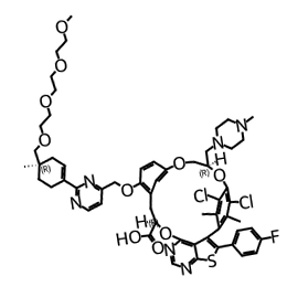 COCCOCCOCCOC[C@@]1(C)CC=C(c2nccc(COc3ccc4cc3C[C@H](C(=O)O)Oc3ncnc5sc(-c6ccc(F)cc6)c(c35)-c3c(C)c(Cl)c(c(Cl)c3C)O[C@H](CN3CCN(C)CC3)CO4)n2)CC1